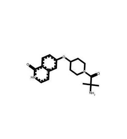 CC(C)(N)C(=O)N1CCC(Oc2ccc3c(=O)[nH]ccc3c2)CC1